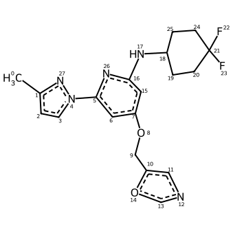 Cc1ccn(-c2cc(OCc3cnco3)cc(NC3CCC(F)(F)CC3)n2)n1